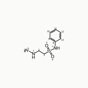 CC(C)NCCS(=O)(=O)Nc1ccccc1